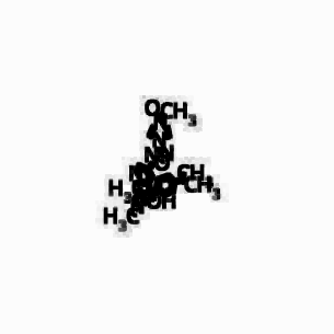 CC(=O)N1CCN(c2noc(-c3cncc(C(O)(c4ccc(C(C)C)cc4)C4(C)CN(C)C4)c3)n2)CC1